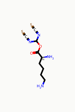 NCCCC[C@H](N)C(=O)OC(N=C=S)N=C=S